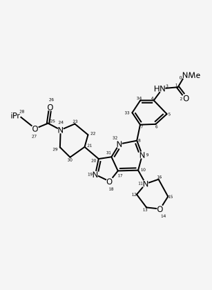 CNC(=O)Nc1ccc(-c2nc(N3CCOCC3)c3onc(C4CCN(C(=O)OC(C)C)CC4)c3n2)cc1